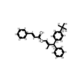 C/C(=C\OC(=O)/C=C/c1ccccc1)C(c1ccccc1)c1ccc(C(C)(C)C)cc1